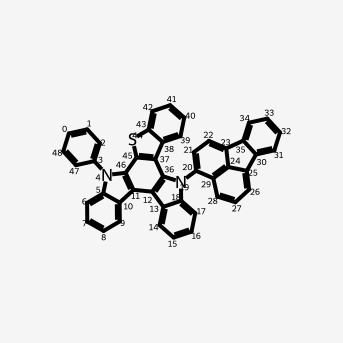 c1ccc(-n2c3ccccc3c3c4c5ccccc5n(-c5ccc6c7c(cccc57)-c5ccccc5-6)c4c4c5ccccc5sc4c32)cc1